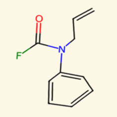 C=CCN(C(=O)F)c1ccccc1